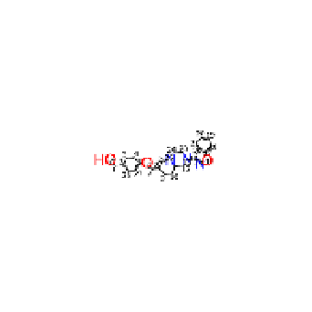 OCc1ccc(OCC2CCC3CN(c4noc5ccccc45)CCN3C2)cc1